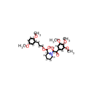 COc1ccc(OC)c(CCCOC(=O)C2CCCCN2C(=O)C(=O)c2cc(OC)c(OC)c(OC)c2)c1